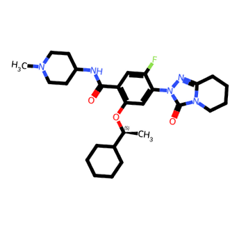 C[C@H](Oc1cc(-n2nc3n(c2=O)CCCC3)c(F)cc1C(=O)NC1CCN(C)CC1)C1CCCCC1